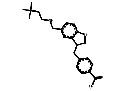 CC(C)(C)CCNCc1ccc2c(c1)C(Cc1ccc(C(N)=O)cc1)CN2